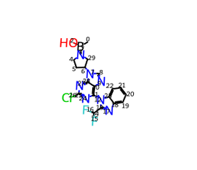 CB(O)N1CCC(n2cnc3c(-n4c(C(F)F)nc5ccccc54)nc(Cl)nc32)C1